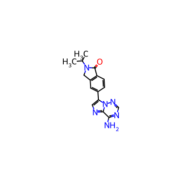 CC(C)N1Cc2cc(-c3cnc4c(N)ncnn34)ccc2C1=O